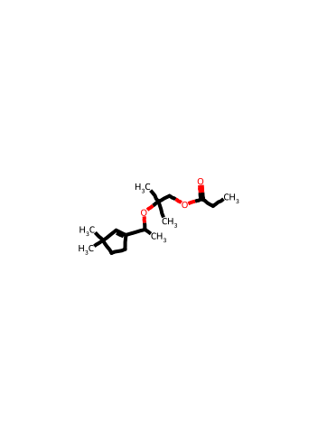 CCC(=O)OCC(C)(C)OC(C)C1=CC(C)(C)CC1